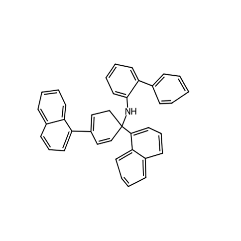 C1=CC(Nc2ccccc2-c2ccccc2)(c2cccc3ccccc23)CC=C1c1cccc2ccccc12